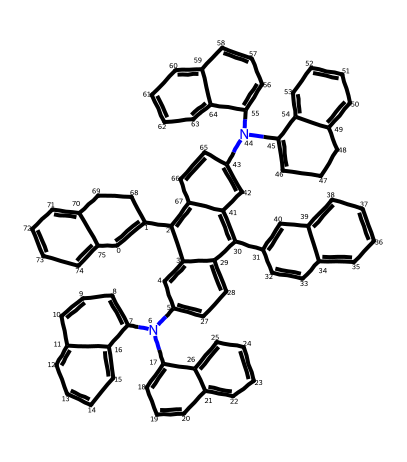 C1=C(c2c3cc(N(c4cccc5ccccc45)c4cccc5ccccc45)ccc3c(-c3ccc4ccccc4c3)c3cc(N(C4=CCCc5ccccc54)c4cccc5ccccc45)ccc23)CCc2ccccc21